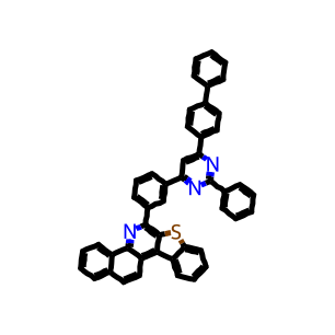 c1ccc(-c2ccc(-c3cc(-c4cccc(-c5nc6c7ccccc7ccc6c6c5sc5ccccc56)c4)nc(-c4ccccc4)n3)cc2)cc1